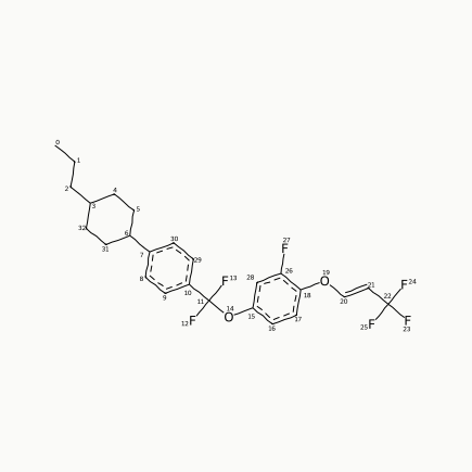 CCCC1CCC(c2ccc(C(F)(F)Oc3ccc(O/C=C/C(F)(F)F)c(F)c3)cc2)CC1